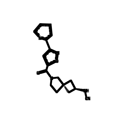 N#CN[C@H]1C[C@@]2(CCN(C(=O)c3cc(-c4ccccn4)no3)C2)C1